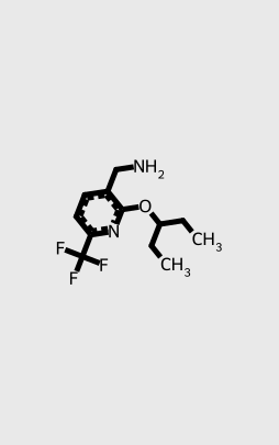 CCC(CC)Oc1nc(C(F)(F)F)ccc1CN